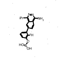 [2H]c1c(OB(O)O)cccc1-c1ccc2c(N)nnc(C(C)C)c2c1